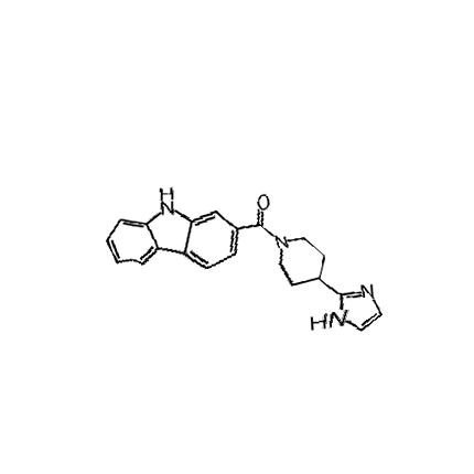 O=C(c1ccc2c(c1)[nH]c1ccccc12)N1CCC(c2ncc[nH]2)CC1